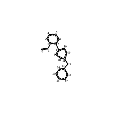 C=Cc1ccccc1-c1ccc([CH]c2ccccc2)cc1